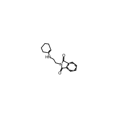 O=C1c2ccccc2C(=O)N1CCNC1=CCCCC1